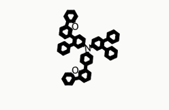 c1ccc(-c2ccc(N(c3ccc(-c4cccc5c4oc4ccccc45)cc3)c3ccc(-c4cccc5c4oc4ccccc45)c(-c4ccccc4)c3)cc2-c2ccccc2)cc1